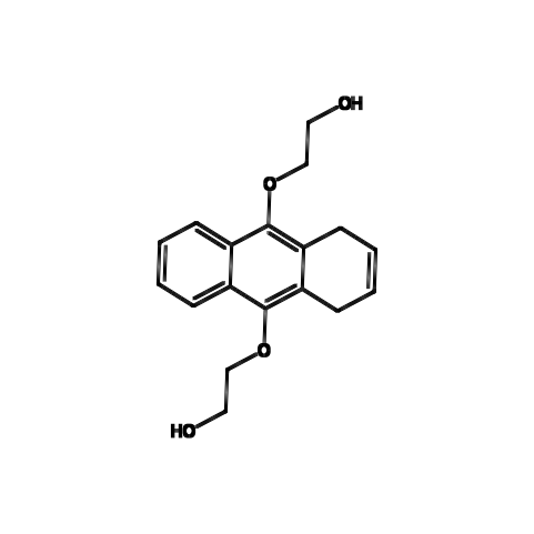 OCCOc1c2c(c(OCCO)c3ccccc13)CC=CC2